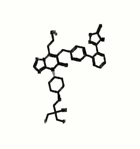 CCCc1c(Cc2ccc(-c3ccccc3-c3noc(=O)[nH]3)cc2)c(=O)n([C@H]2CC[C@H](OCC(O)(CF)CF)CC2)c2ncnn12